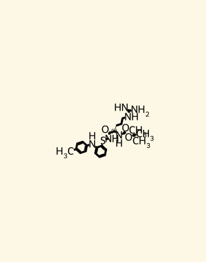 Cc1ccc(Nc2ccccc2SNC(=O)[C@H](CCCNC(=N)N)NC(=O)OC(C)(C)C)cc1